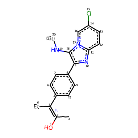 CC/C(=C(/C)O)c1ccc(-c2nc3ccc(Cl)cn3c2NC(C)(C)C)cc1